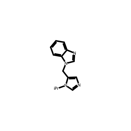 CC(C)n1cncc1Cn1cnc2ccccc21